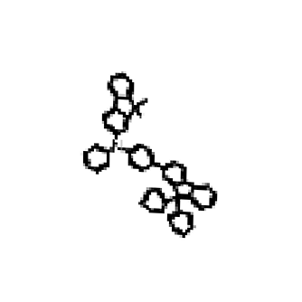 CC1(C)c2ccccc2-c2ccc(N(c3ccccc3)c3ccc(-c4ccc5c(c4)C(c4ccccc4)(c4ccccc4)c4ccccc4-5)cc3)cc21